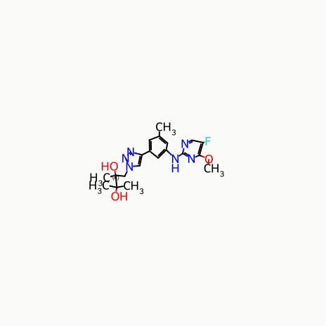 COc1nc(Nc2cc(C)cc(-c3cn(C[C@@](C)(O)C(C)(C)O)nn3)c2)ncc1F